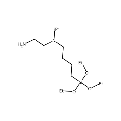 CCO[Si](CCCCN(CCN)C(C)C)(OCC)OCC